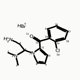 Br.CN(C)C(CN)n1cccc1C(=O)c1ccccc1Cl